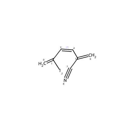 C=C(I)/C=C\C(=C)C#N